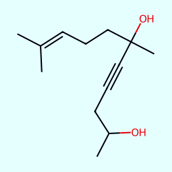 CC(C)=CCCC(C)(O)C#CCC(C)O